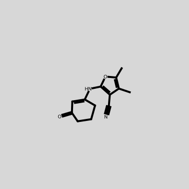 Cc1oc(NC2=CC(=O)CCC2)c(C#N)c1C